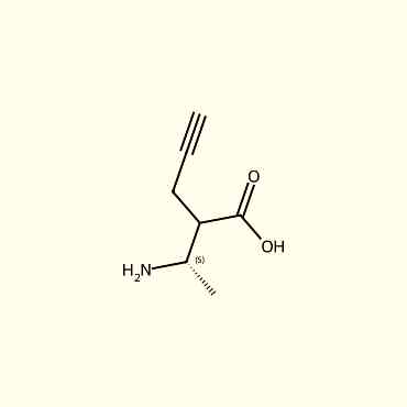 C#CCC(C(=O)O)[C@H](C)N